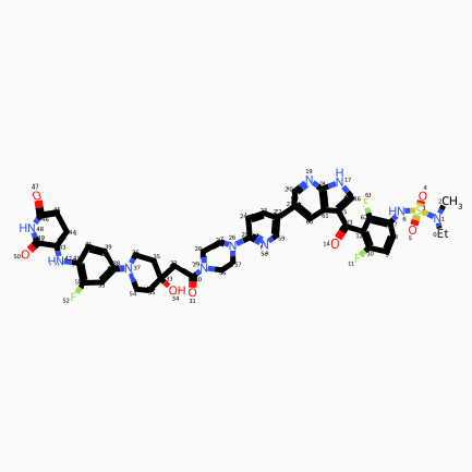 CCN(C)S(=O)(=O)Nc1ccc(F)c(C(=O)c2c[nH]c3ncc(-c4ccc(N5CCN(C(=O)CC6(O)CCN(c7ccc(NC8CCC(=O)NC8=O)c(F)c7)CC6)CC5)nc4)cc23)c1F